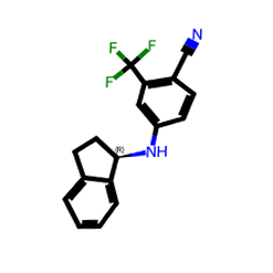 N#Cc1ccc(N[C@@H]2CCc3ccccc32)cc1C(F)(F)F